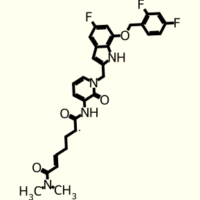 CN(C)C(=O)/C=C/CC[CH]C(=O)Nc1cccn(Cc2cc3cc(F)cc(OCc4ccc(F)cc4F)c3[nH]2)c1=O